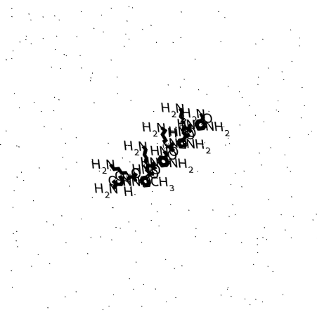 Cc1ccc(NC(=O)[C@H](CCCCN)NC(=O)CC(N)=O)cc1C(=O)N[C@@H](CCCCN)C(=O)Nc1ccc(N)c(C(=O)N[C@@H](CCCCN)C(=O)Nc2ccc(N)c(C(=O)N[C@@H](CCCCN)C(=O)Nc3ccc(N)c(C(N)=O)c3)c2)c1